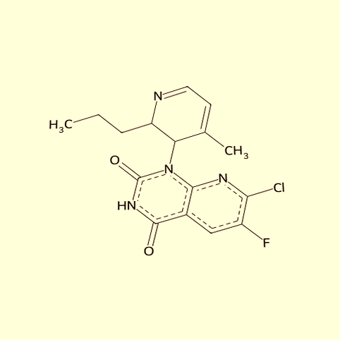 CCCC1N=CC=C(C)C1n1c(=O)[nH]c(=O)c2cc(F)c(Cl)nc21